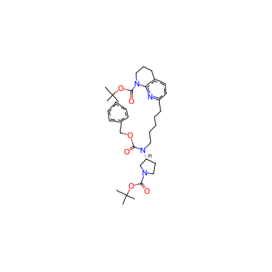 CC(C)(C)OC(=O)N1CC[C@@H](N(CCCCCc2ccc3c(n2)N(C(=O)OC(C)(C)C)CCC3)C(=O)OCc2ccccc2)C1